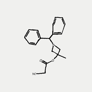 CC1(OC(=O)CC#N)CN(C(c2ccccc2)c2ccccc2)C1